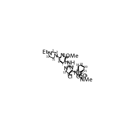 CCN1CCN(c2ccc(Nc3ncc(Cl)c(Nc4ccccc4S(=O)(=O)NC)n3)c(OC)n2)CC1